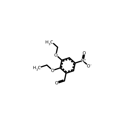 CCOc1cc([N+](=O)[O-])cc(C=O)c1OCC